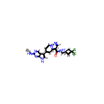 CCC(C)Nc1ncc2c(-c3ccn4ncc(C(=O)NCC5CC(F)(F)C5)c4c3)c[nH]c2n1